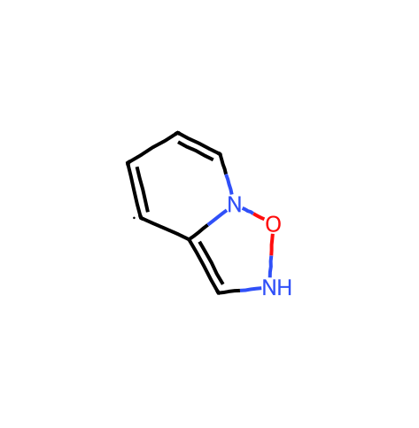 [C]1=CC=CN2ONC=C12